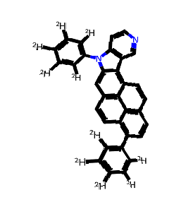 [2H]c1c([2H])c([2H])c(-c2ccc3ccc4c5c(ccc2c35)cc2c4c3cnccc3n2-c2c([2H])c([2H])c([2H])c([2H])c2[2H])c([2H])c1[2H]